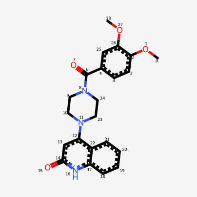 COc1ccc(C(=O)N2CCN(c3cc(=O)[nH]c4ccccc34)CC2)cc1OC